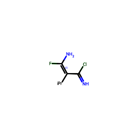 CC(C)/C(C(=N)Cl)=C(/N)F